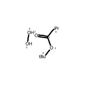 CC(C)C(=O)OC(C)(C)C.OO